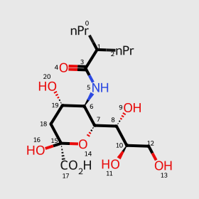 CCCC(CCC)C(=O)N[C@H]1[C@H]([C@H](O)[C@H](O)CO)O[C@](O)(C(=O)O)C[C@@H]1O